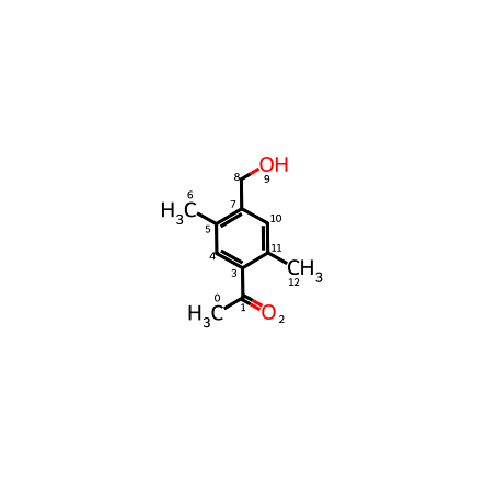 CC(=O)c1cc(C)c(CO)cc1C